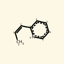 C/[C]=C\c1ccccn1